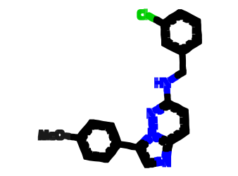 COc1ccc(-c2cnc3ccc(NCc4cccc(Cl)c4)nn23)cc1